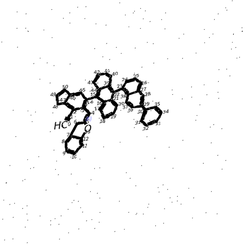 C#Cc1c(/C=C2\Cc3ccccc3O2)c(-c2c3ccccc3c(-c3cccc4cc(-c5ccccc5)ccc34)c3ccccc23)cc2c1CC=C2